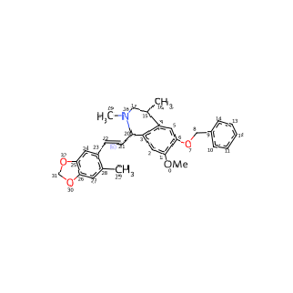 COc1cc2c(cc1OCc1ccccc1)C(C)CN(C)C2/C=C/c1cc2c(cc1C)OCO2